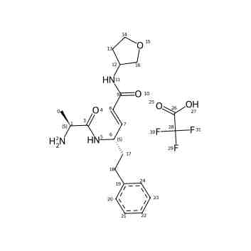 C[C@H](N)C(=O)N[C@H](C=CC(=O)NC1CCOC1)CCc1ccccc1.O=C(O)C(F)(F)F